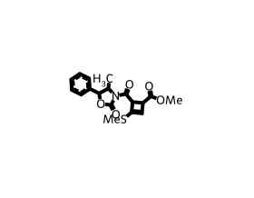 COC(=O)C1C=C(SC)C1C(=O)N1C(=O)OC(c2ccccc2)C1C